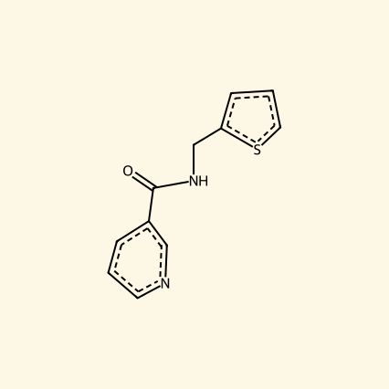 O=C(NCc1cccs1)c1cccnc1